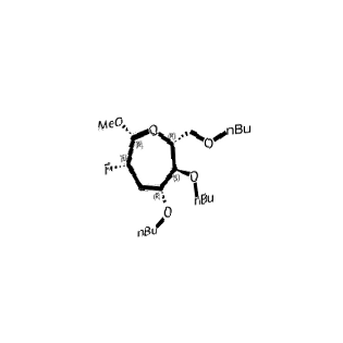 CCCCOC[C@H]1O[C@@H](OC)[C@@H](F)C[C@@H](OCCCC)[C@@H]1OCCCC